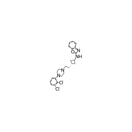 Clc1cccc(N2CCN(CC[C@H]3C[C@H](Nc4nc5ccccc5o4)C3)CC2)c1Cl